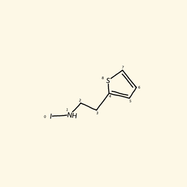 INCCc1cccs1